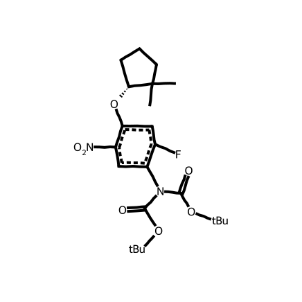 CC(C)(C)OC(=O)N(C(=O)OC(C)(C)C)c1cc([N+](=O)[O-])c(O[C@@H]2CCCC2(C)C)cc1F